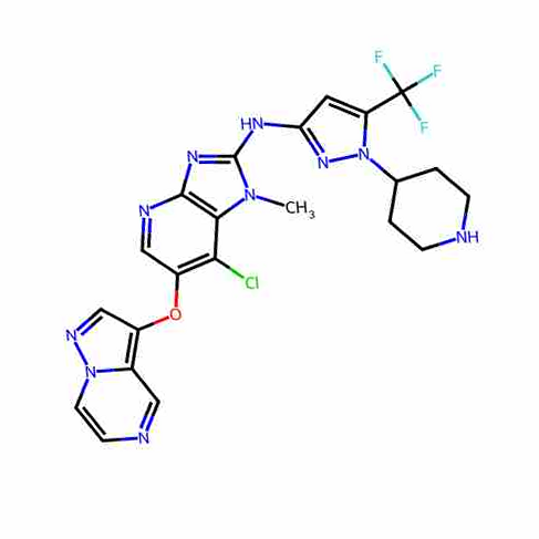 Cn1c(Nc2cc(C(F)(F)F)n(C3CCNCC3)n2)nc2ncc(Oc3cnn4ccncc34)c(Cl)c21